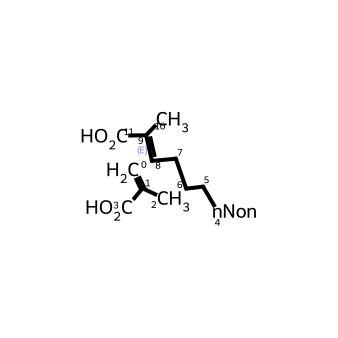 C=C(C)C(=O)O.CCCCCCCCCCCC/C=C(\C)C(=O)O